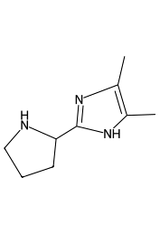 Cc1nc(C2CCCN2)[nH]c1C